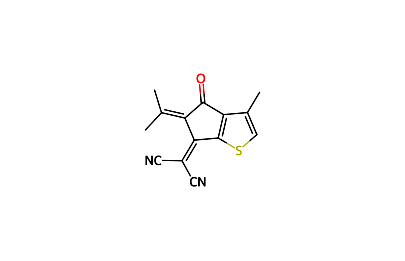 CC(C)=C1C(=O)c2c(C)csc2C1=C(C#N)C#N